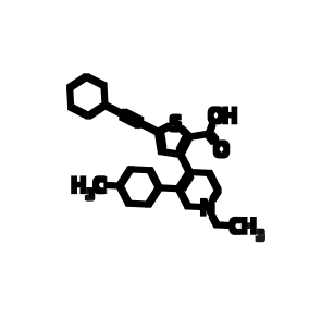 CCN1CCC(c2cc(C#CC3CCCCC3)sc2C(=O)O)=C(C2CCC(C)CC2)C1